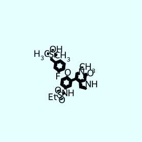 CCS(=O)(=O)Nc1ccc(Oc2ccc(C[Si](C)(C)O)cc2F)c(-c2cn(C)c(=O)c3[nH]ccc23)c1